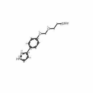 CSCCOCOc1ccc(-c2cc[nH]n2)cc1